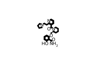 NC(=O)c1c(O)cccc1OC[C@@H]1CCCCN1C(=O)c1cccnc1CCN1CCCC1